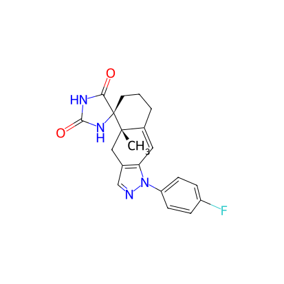 C[C@]12Cc3cnn(-c4ccc(F)cc4)c3C=C1CCC[C@]21NC(=O)NC1=O